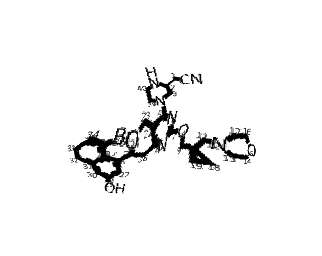 N#CC[C@H]1CN(c2nc(OCC3(CN4CCOCC4)CC3)nc3c2COC(c2cc(O)cc4cccc(Br)c24)C3)CCN1